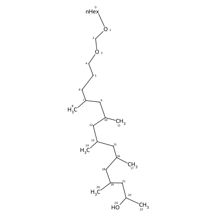 CCCCCCOCOCCCC(C)CC(C)CC(C)CC(C)CC(C)CC(C)O